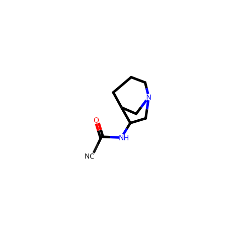 N#CC(=O)NC1CN2CCCC1C2